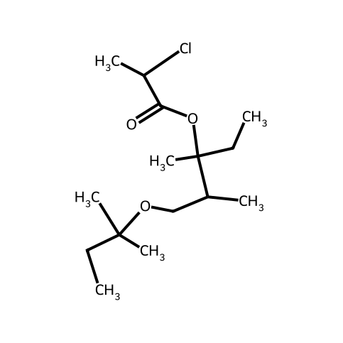 CCC(C)(C)OCC(C)C(C)(CC)OC(=O)C(C)Cl